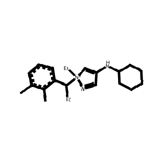 CCC(c1cccc(C)c1C)[N+]1(CC)C=C(NC2CCCCC2)C=N1